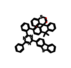 CC1(C)c2ccccc2C2(c3ccccc3Sc3ccccc32)c2cc(-c3ccccc3-c3nc(-c4ccccc4)nc(-c4ccc5c(c4)sc4ccccc45)n3)ccc21